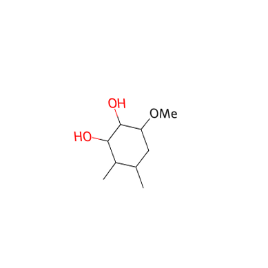 COC1CC(C)C(C)C(O)C1O